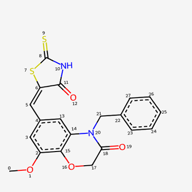 COc1cc(C=C2SC(=S)NC2=O)cc2c1OCC(=O)N2Cc1ccccc1